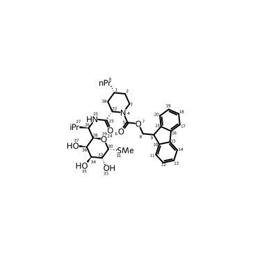 CCC[C@@H]1CCN(C(=O)OCC2c3ccccc3-c3ccccc32)[C@H](C(=O)N[C@H](C(C)C)[C@H]2O[C@H](SC)[C@H](O)[C@@H](O)[C@H]2O)C1